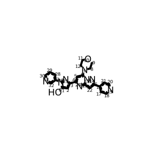 Oc1cc(-c2cc(N3CCOCC3)n3nc(-c4ccncc4)cc3n2)nn1-c1cccnc1